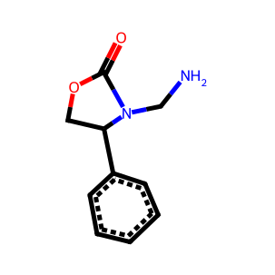 NCN1C(=O)OCC1c1ccccc1